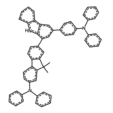 CC1(C)c2cc(-c3cc(-c4ccc(N(c5ccccc5)c5ccccc5)cc4)cc4c3[nH]c3ccccc34)ccc2-c2ccc(N(c3ccccc3)c3ccccc3)cc21